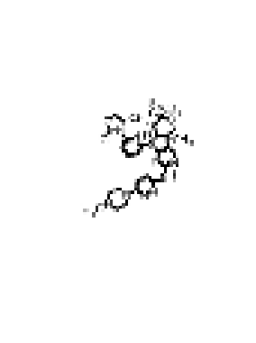 C[C@H]1COC(=O)N1c1cccc(N2c3nc(Nc4ccc(N5CCN(C)CC5)nn4)ncc3[C@]3(C)COC(C)(C)C[C@H]23)n1